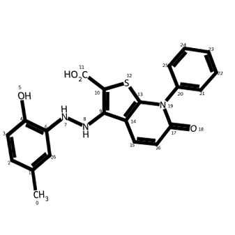 Cc1ccc(O)c(NNc2c(C(=O)O)sc3c2ccc(=O)n3-c2ccccc2)c1